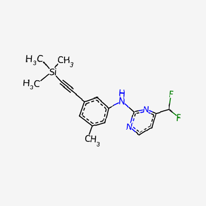 Cc1cc(C#C[Si](C)(C)C)cc(Nc2nccc(C(F)F)n2)c1